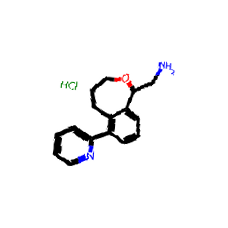 Cl.NCC1OCCCc2c(-c3ccccn3)cccc21